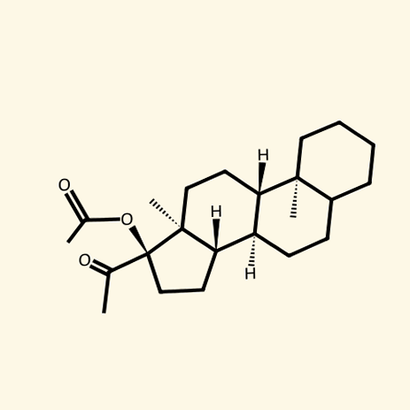 CC(=O)O[C@]1(C(C)=O)CC[C@H]2[C@@H]3CCC4CCCC[C@]4(C)[C@H]3CC[C@@]21C